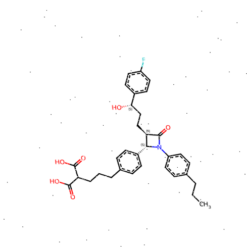 CCCc1ccc(N2C(=O)[C@H](CC[C@H](O)c3ccc(F)cc3)[C@H]2c2ccc(CCCC(C(=O)O)C(=O)O)cc2)cc1